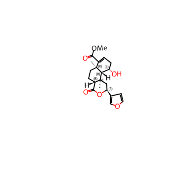 COC(=O)C1=CC[C@H](O)[C@@H]2[C@@]3(C)C[C@@H](c4ccoc4)OC(=O)[C@@H]3CC[C@@]12C